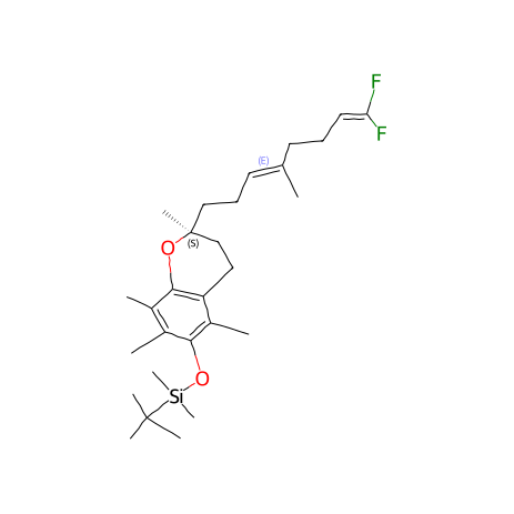 C/C(=C\CC[C@@]1(C)CCc2c(C)c(O[Si](C)(C)C(C)(C)C)c(C)c(C)c2O1)CCC=C(F)F